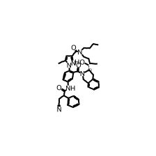 CCCCN(CCCC)C(=O)c1cc(C)n(-c2ccc(NC(=O)C(CC#N)c3ccccc3)cc2C(=O)N2Cc3ccccc3C[C@H]2CO)n1